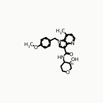 COc1ccc(Cn2cc(C(=O)NC3CCOC[C@@H]3O)c3nccc(C)c32)cc1